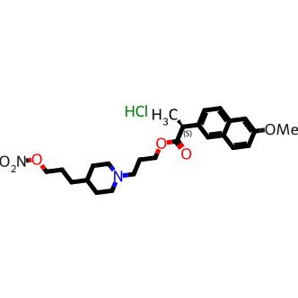 COc1ccc2cc([C@H](C)C(=O)OCCCN3CCC(CCCO[N+](=O)[O-])CC3)ccc2c1.Cl